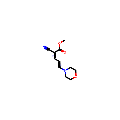 COC(=O)/C(C#N)=C\C=C\N1CCOCC1